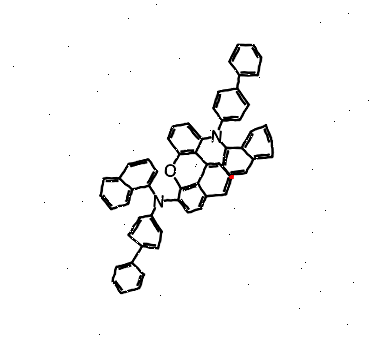 c1ccc(-c2ccc(N(c3cccc4c3-c3cccc5ccc(N(c6ccc(-c7ccccc7)cc6)c6cccc7ccccc67)c(c35)O4)c3cccc4ccccc34)cc2)cc1